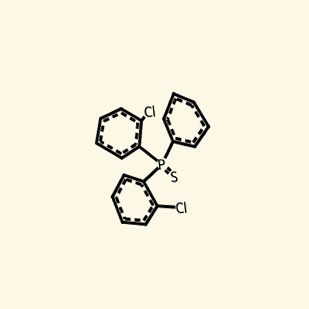 S=P(c1ccccc1)(c1ccccc1Cl)c1ccccc1Cl